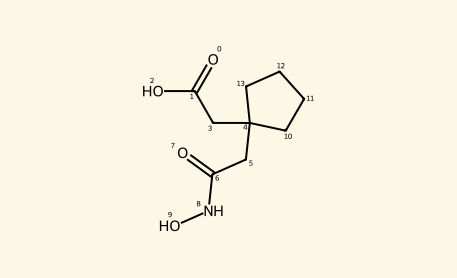 O=C(O)CC1(CC(=O)NO)CCCC1